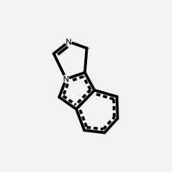 [CH]1N=Cn2cc3ccccc3c21